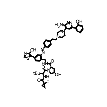 Cc1ncsc1-c1ccc(CNC(=O)[C@H]2C[C@H](O)CN2C(=O)[C@@H](NC(=O)C2(F)CC2)C(C)(C)C)c(/N=N/c2ccc(CCN3CCN(c4cc(-c5ccccc5O)nnc4N)CC3)cc2)c1